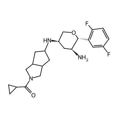 N[C@H]1C[C@@H](NC2CC3CN(C(=O)C4CC4)CC3C2)CO[C@@H]1c1cc(F)ccc1F